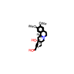 COc1cc2c(cc1OC)[C@H]1C[C@](O)(C#CCO)[C@H](CC(C)C)CN1CC2